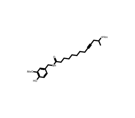 CCCCCCC(C)CC#CCCCCCCCC(=O)NCc1ccc(O)c(OC)c1